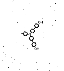 Cc1ccc(N(c2ccc(-c3ccc(O)cc3)cc2)c2ccc(-c3ccc(O)cc3)cc2)cc1